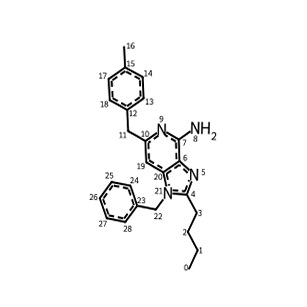 CCCCc1nc2c(N)nc(Cc3ccc(C)cc3)cc2n1Cc1ccccc1